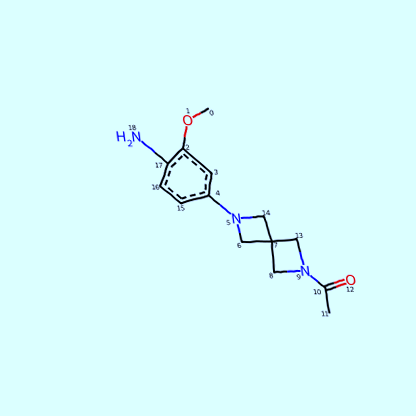 COc1cc(N2CC3(CN(C(C)=O)C3)C2)ccc1N